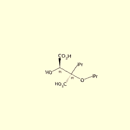 CC(C)O[C@](C(=O)O)(C(C)C)[C@@H](O)C(=O)O